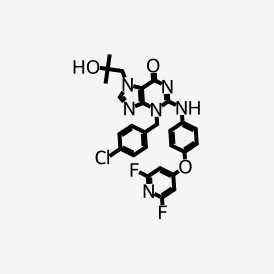 CC(C)(O)Cn1cnc2c1c(=O)nc(Nc1ccc(Oc3cc(F)nc(F)c3)cc1)n2Cc1ccc(Cl)cc1